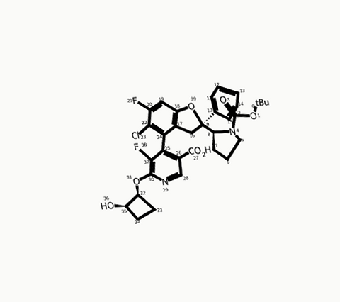 CC(C)(C)OC(=O)N1CCC[C@H]1[C@@]1(c2ccccc2)Cc2c(cc(F)c(Cl)c2-c2c(C(=O)O)cnc(O[C@H]3CC[C@H]3O)c2F)O1